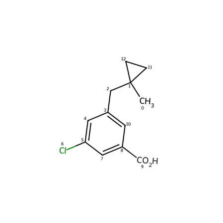 CC1(Cc2cc(Cl)cc(C(=O)O)c2)CC1